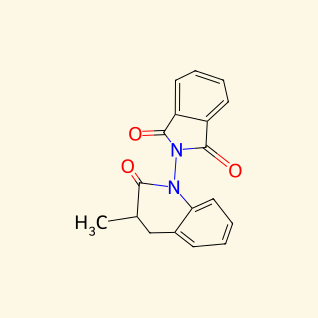 CC1Cc2ccccc2N(N2C(=O)c3ccccc3C2=O)C1=O